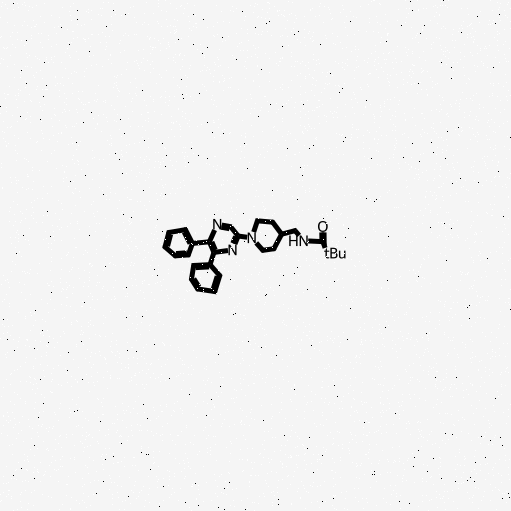 CC(C)(C)C(=O)NCC1CCN(c2cnc(-c3ccccc3)c(-c3ccccc3)n2)CC1